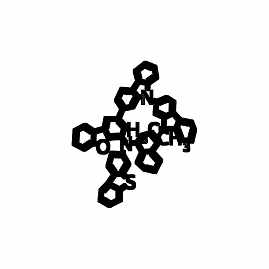 CC1(C)c2ccccc2-c2ccc(-n3c4ccccc4c4ccc(-c5cc(N(c6ccc7c(c6)sc6ccccc67)c6cccc7ccccc67)c6oc7ccccc7c6c5)cc43)cc21